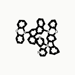 c1cncc([Si]2(c3cccnc3)c3ccccc3-c3cc4c(cc32)N(c2cc3c5ccccc5c(N5c6ccccc6Oc6ccccc65)cc3c3ccccc23)c2ccccc2O4)c1